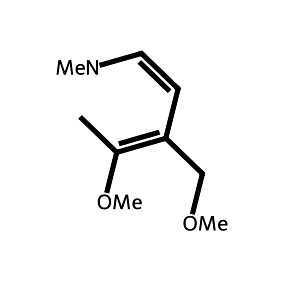 CN/C=C\C(COC)=C(C)OC